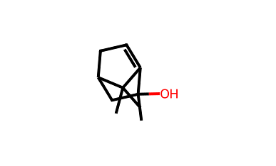 CC1(O)CC2CC=C1C2(C)C